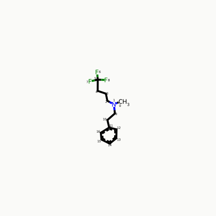 CN(CCCC(F)(F)F)CCc1ccccc1